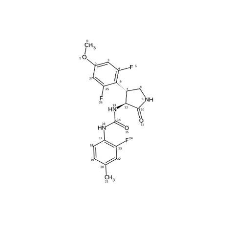 COc1cc(F)c([C@@H]2CNC(=O)[C@H]2NC(=O)Nc2ccc(C)cc2F)c(F)c1